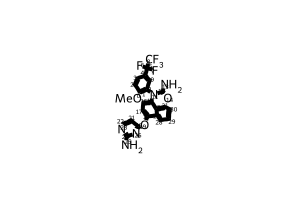 COc1ccc(C(F)(F)C(F)(F)F)cc1N(C(N)=O)c1ccc(Oc2ccnc(N)n2)c2ccccc12